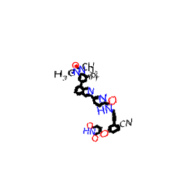 CC(C)c1cc(-c2cccc3cc(-c4ccc(C(=O)NCC#Cc5cc(OC6CCC(=O)NC6=O)ccc5C#N)nc4)ncc23)cc2c1n(C)c(=O)n2C